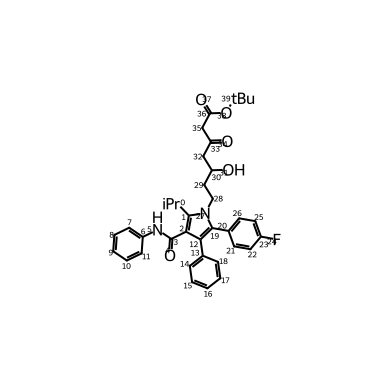 CC(C)c1c(C(=O)Nc2ccccc2)c(-c2ccccc2)c(-c2ccc(F)cc2)n1CCC(O)CC(=O)CC(=O)OC(C)(C)C